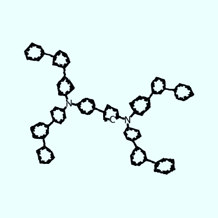 c1ccc(-c2cccc(-c3ccc(N(c4ccc(-c5ccc(N(c6ccc(-c7cccc(-c8ccccc8)c7)cc6)c6ccc(-c7cccc(-c8ccccc8)c7)cc6)cc5)cc4)c4ccc(-c5cccc(-c6ccccc6)c5)cc4)cc3)c2)cc1